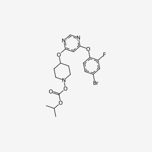 CC(C)OC(=O)ON1CCC(Oc2cc(Oc3ccc(Br)cc3F)ncn2)CC1